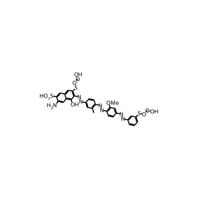 COc1cc(N=Nc2cccc(SOOO)c2)ccc1N=Nc1ccc(N=Nc2c(SOOO)cc3cc(S(=O)(=O)O)c(N)cc3c2O)cc1C